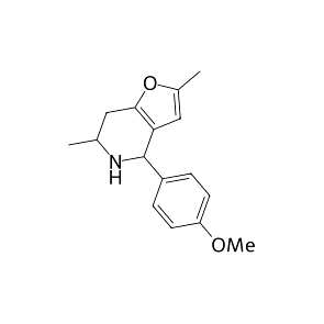 COc1ccc(C2NC(C)Cc3oc(C)cc32)cc1